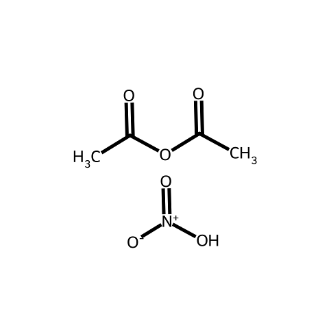 CC(=O)OC(C)=O.O=[N+]([O-])O